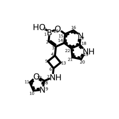 OB1C=C(C2CC(Nc3ncco3)C2)c2c(cnc3[nH]ccc23)O1